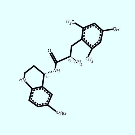 CCCCCCc1ccc2c(c1)[C@@H](NC(=O)[C@@H](N)Cc1c(C)cc(O)cc1C)CCN2